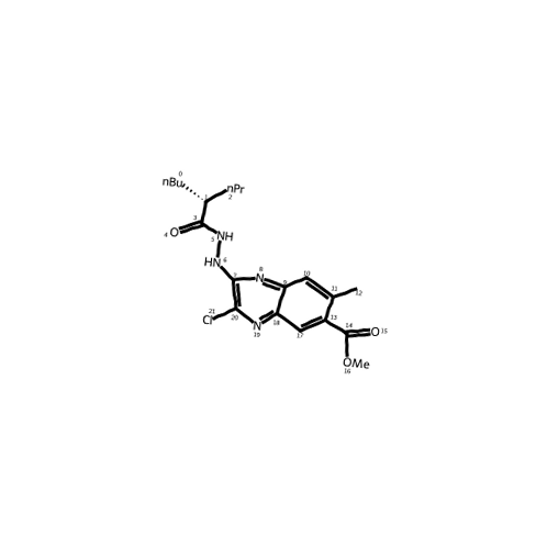 CCCC[C@H](CCC)C(=O)NNc1nc2cc(C)c(C(=O)OC)cc2nc1Cl